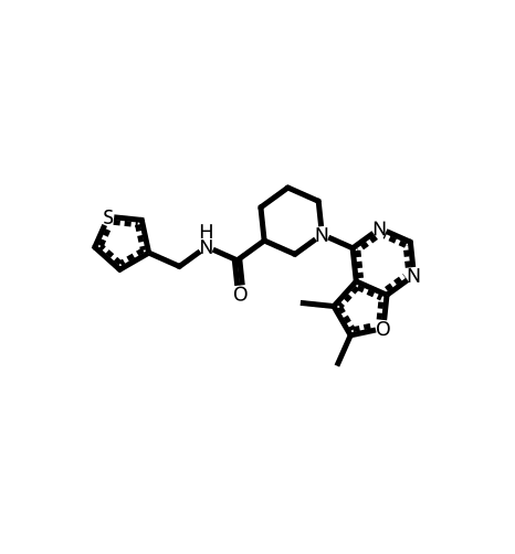 Cc1oc2ncnc(N3CCCC(C(=O)NCc4ccsc4)C3)c2c1C